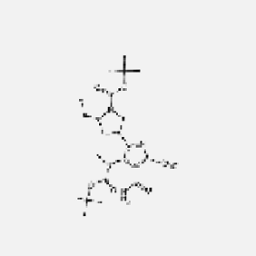 C#Cc1nn(C2C[C@@H](CF)N(C(=O)OC(C)(C)C)C2)c(N(C)C(=O)OC(C)(C)C)c1C(N)=O